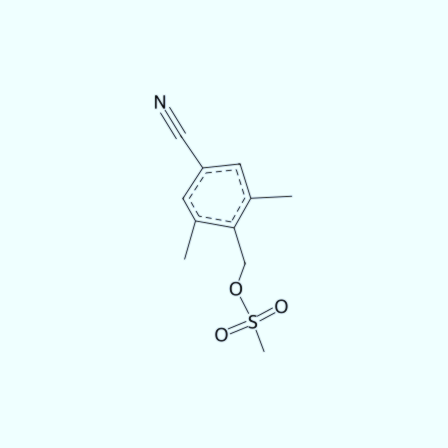 Cc1cc(C#N)cc(C)c1COS(C)(=O)=O